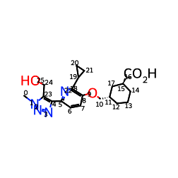 Cn1nnc(-c2ccc(OC[C@H]3CCC[C@H](C(=O)O)C3)c(C3CC3)n2)c1CO